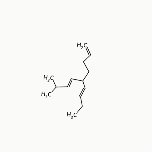 C=CCCC(C=CCC)C=CC(C)C